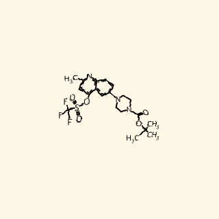 Cc1cc(OS(=O)(=O)C(F)(F)F)c2cc(N3CCN(C(=O)OC(C)(C)C)CC3)ccc2n1